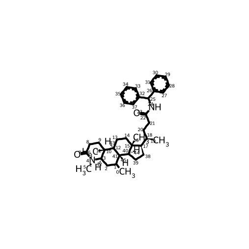 CC1C[C@H]2N(C)C(=O)CC[C@]2(C)[C@H]2CC[C@]3(C)[C@@H]([C@H](C)CCC(=O)NC(c4ccccc4)c4ccccc4)CC[C@H]3[C@H]12